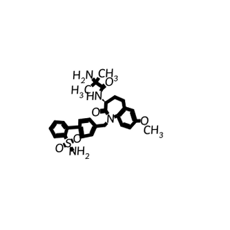 COc1ccc2c(c1)CC[C@@H](NC(=O)C(C)(C)N)C(=O)N2Cc1ccc(-c2ccccc2S(N)(=O)=O)cc1